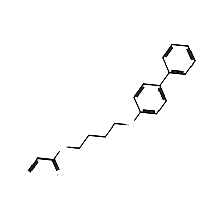 C=CC(=O)OCCCCOc1ccc(-c2ccccc2)cc1